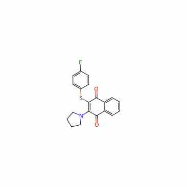 O=C1C(Sc2ccc(F)cc2)=C(N2CCCC2)C(=O)c2ccccc21